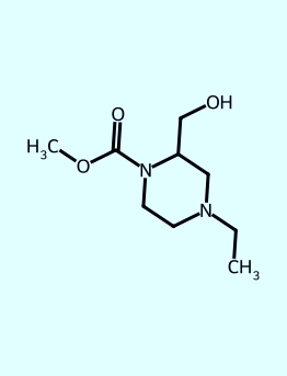 CCN1CCN(C(=O)OC)C(CO)C1